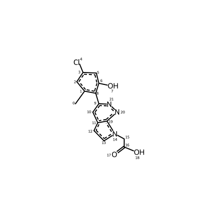 Cc1cc(Cl)cc(O)c1-c1cc2ccn(CC(=O)O)c2nn1